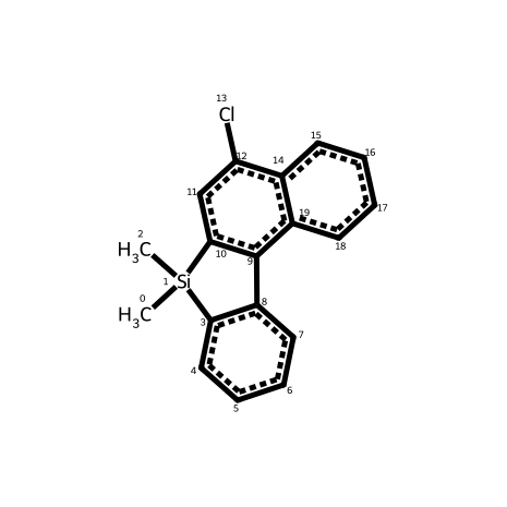 C[Si]1(C)c2ccccc2-c2c1cc(Cl)c1ccccc21